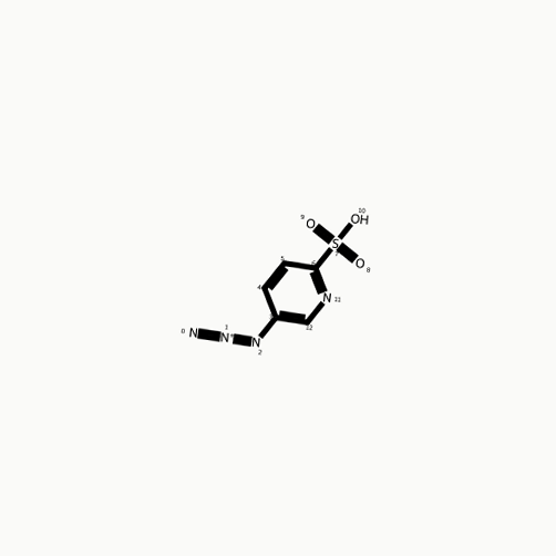 [N-]=[N+]=Nc1ccc(S(=O)(=O)O)nc1